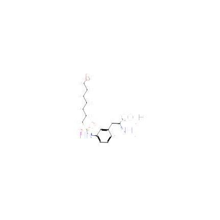 NC(Cc1cccc(NS(=O)(=O)CCCCCCCBr)c1)C(=O)O